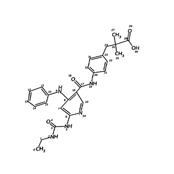 CCNC(=O)Nc1cc(Nc2ccccc2)c(C(=O)Nc2ccc(CC(C)(C)C(=O)O)cc2)cn1